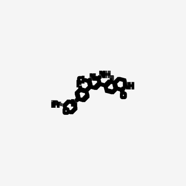 CC(C)[C@@H]1CN(c2ccc(-c3cc(-c4ccc5c(c4)CCNC5=O)c(N)nc3Cl)c(F)c2)CCO1